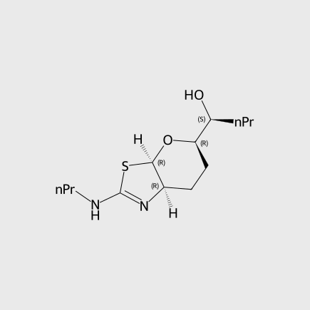 CCCNC1=N[C@@H]2CC[C@H]([C@@H](O)CCC)O[C@@H]2S1